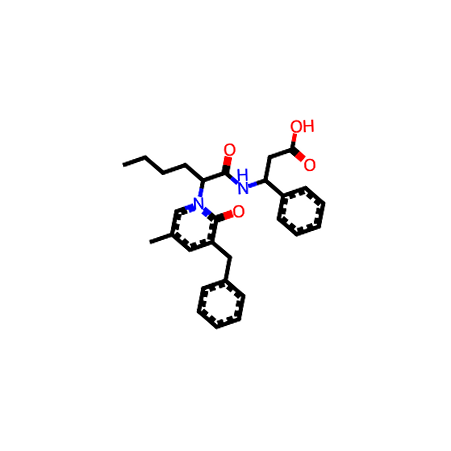 CCCCC(C(=O)NC(CC(=O)O)c1ccccc1)n1cc(C)cc(Cc2ccccc2)c1=O